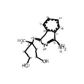 CC(CCO)(CCO)/N=C1\N=C(N)c2ccccc21